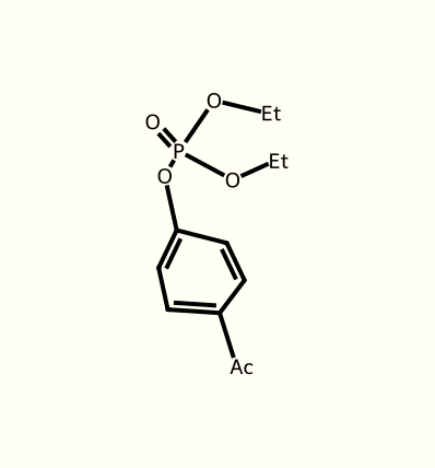 CCOP(=O)(OCC)Oc1ccc(C(C)=O)cc1